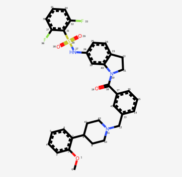 COc1ccccc1C1CCN(Cc2cccc(C(=O)N3CCc4ccc(NS(=O)(=O)c5c(F)cccc5F)cc43)c2)CC1